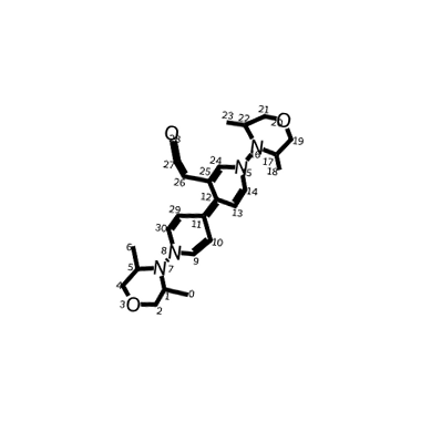 CC1COCC(C)N1N1C=CC(=C2C=CN(N3C(C)COCC3C)C=C2C=C=O)C=C1